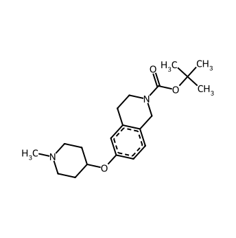 CN1CCC(Oc2ccc3c(c2)CCN(C(=O)OC(C)(C)C)C3)CC1